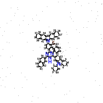 c1ccc(-n2c3ccccc3c3ccc(C4N=C(c5ccc(-n6c7cc8ccccc8cc7c7cc8ccccc8cc76)c6c5-c5ccccc5CS6)N=C(c5ccc6ccccc6c5)N4)cc32)cc1